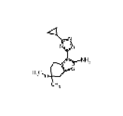 COC1(C)CCc2c(sc(N)c2-c2nc(C3CC3)no2)C1